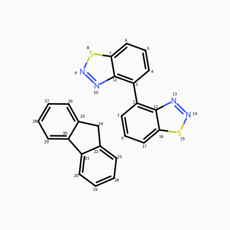 c1cc(-c2cccc3snnc23)c2nnsc2c1.c1ccc2c(c1)Cc1ccccc1-2